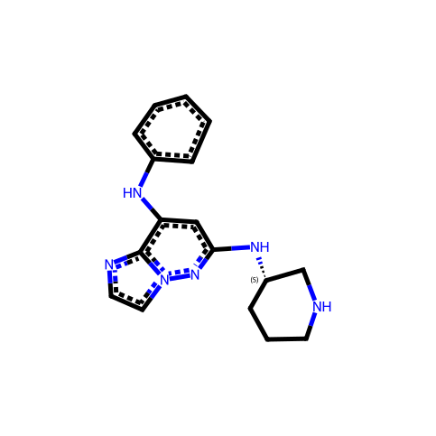 c1ccc(Nc2cc(N[C@H]3CCCNC3)nn3ccnc23)cc1